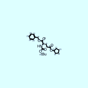 CC(C)(C)OC(=O)N[C@H](CCC(=O)OC1CCCC1)C(=O)OCc1ccccc1